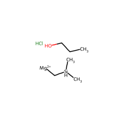 CCCO.C[SiH](C)[CH2][Mg+2].Cl